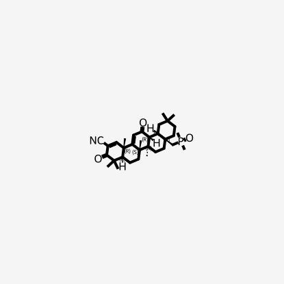 CC1(C)CC[C@]2(CP(C)(C)=O)CC[C@]3(C)[C@H](C(=O)C=C4[C@@]5(C)C=C(C#N)C(=O)C(C)(C)[C@@H]5CC[C@]43C)[C@@H]2C1